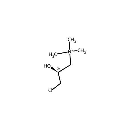 C[N+](C)(C)C[C@H](O)CCl